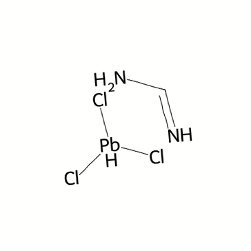 N=CN.[Cl][PbH]([Cl])[Cl]